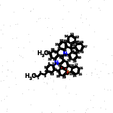 CCCCc1ccc(N2c3cc4sc5ccccc5c4cc3B3c4c(cc(C)cc42)-c2cccc4c2N3c2ccccc2C4(c2ccccc2)c2ccccc2)c(-c2ccccc2)c1